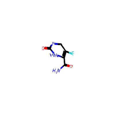 NC(=O)c1[nH]c(=O)ncc1F